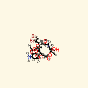 CC[C@H]1OC(=O)[C@H](C)C(=O)[C@H](C)[C@@H](OC2O[C@H](C)C[C@H](N(C)C)[C@H]2OC(C)=O)[C@@](C)(OCC(Br)CBr)C[C@@H](C)C(=O)/C(C)=C/[C@]1(C)O